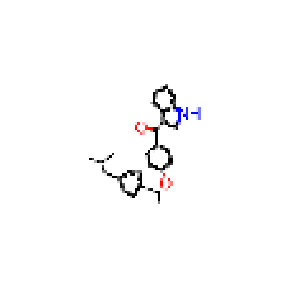 CC(C)Cc1ccc(C(C)Oc2ccc(C(=O)c3c[nH]c4ccccc34)cc2)cc1